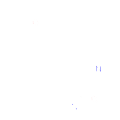 COCCCc1cc(C#N)c2c(c1)CN(C)C2=O